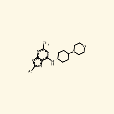 CC(=O)c1nc2c(N[C@H]3CC[C@H](N4CCOCC4)CC3)nc(C)nc2s1